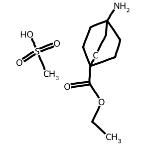 CCOC(=O)C12CCC(N)(CC1)CC2.CS(=O)(=O)O